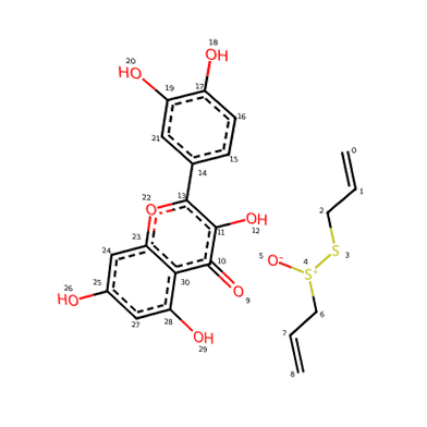 C=CCS[S+]([O-])CC=C.O=c1c(O)c(-c2ccc(O)c(O)c2)oc2cc(O)cc(O)c12